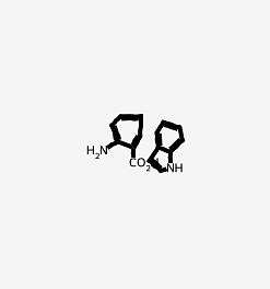 Nc1ccccc1C(=O)O.c1ccc2[nH]ccc2c1